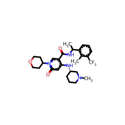 Cc1c(C(C)NC(=O)c2cn(C3CCOCC3)c(=O)cc2N[C@H]2CCCN(C)C2)cccc1C(F)(F)F